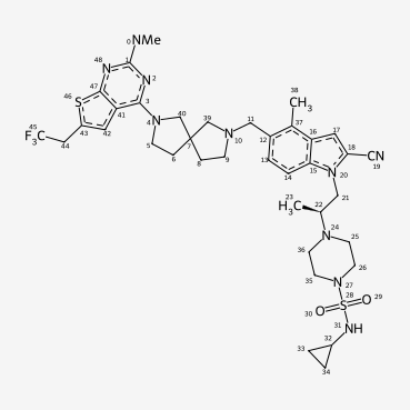 CNc1nc(N2CCC3(CCN(Cc4ccc5c(cc(C#N)n5C[C@H](C)N5CCN(S(=O)(=O)NC6CC6)CC5)c4C)C3)C2)c2cc(CC(F)(F)F)sc2n1